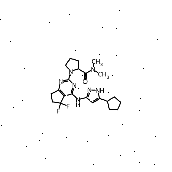 CN(C)C(=O)C1CCCN1c1nc2c(c(Nc3cc(C4CCCC4)[nH]n3)n1)C(F)(F)CC2